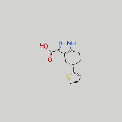 O=C(O)c1n[nH]c2c1CC(c1cccs1)CC2